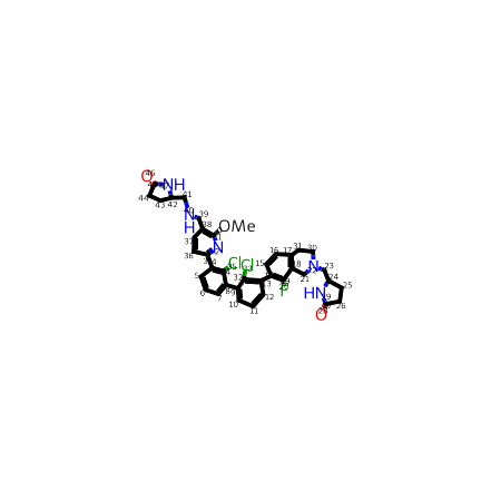 COc1nc(-c2cccc(-c3cccc(-c4ccc5c(c4F)CN(CC4CCC(=O)N4)CC5)c3Cl)c2Cl)ccc1CNCC1CCC(=O)N1